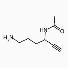 C#CC(CCCN)NC(C)=O